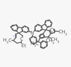 CCC1CCC2(/C=C/C(C)C1)c1ccccc1-c1ccc(N(c3cccc(-c4ccccc4)c3)c3ccc4c(c3)C3(c5ccccc5-4)c4ccc(C)cc4C(C)(C)c4cc(C)ccc43)cc12